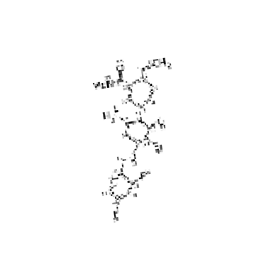 C=Cc1ccc(-n2c(C)cc(OCc3ccc(F)cc3F)c(Br)c2=O)cc1C(=O)NC